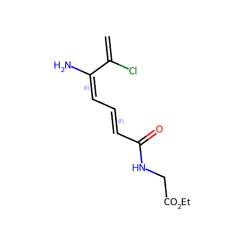 C=C(Cl)/C(N)=C\C=C\C(=O)NCC(=O)OCC